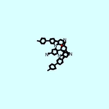 Cc1ccc(-c2ccc3c4ccccc4n(-c4cc(C#N)cc(-n5c6ccccc6c6ccc(-c7ccc(C)cc7)cc65)c4-c4cc(C#N)cc(C#N)c4)c3c2)cc1